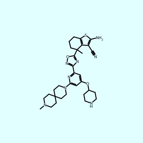 CN1CCC2(CC1)CCN(c1cc(OC3CCNCC3)cc(-c3noc(C4(C)CCCc5sc(N)c(C#N)c54)n3)n1)CC2